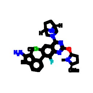 CO[C@H]1CC[C@H](Oc2nc(N3C[C@H]4CC[C@@H](C3)N4)c3cc(Cl)c(-c4cccc5[se]c(N)c(C#N)c45)c(F)c3n2)N1C